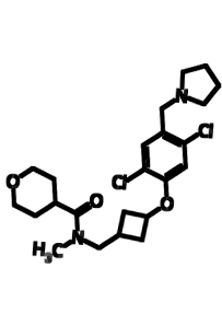 CN(CC1CC(Oc2cc(Cl)c(CN3CCCC3)cc2Cl)C1)C(=O)C1CCOCC1